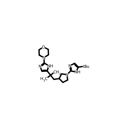 CC(C)(C)c1cnc(N2CCC(CC(C)(C)c3cnc(N4CCOCC4)[nH]3)C2)[nH]1